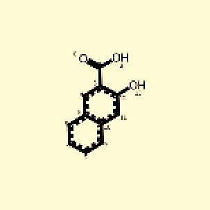 O=C(O)c1cc2c[c]ccc2cc1O